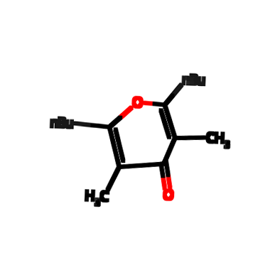 CCCCc1oc(CCCC)c(C)c(=O)c1C